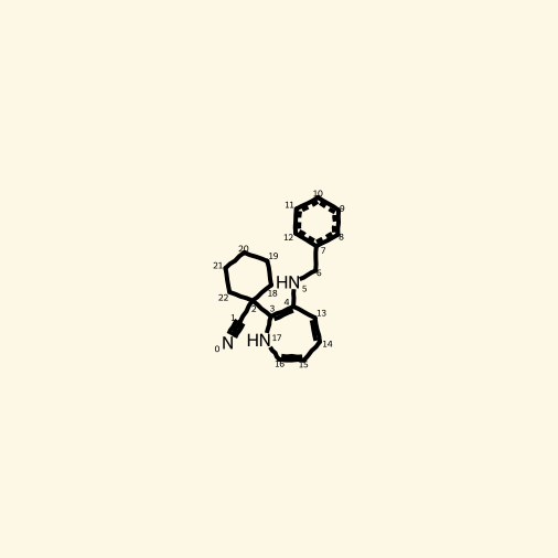 N#CC1(C2=C(NCc3ccccc3)C=CC=CN2)CCCCC1